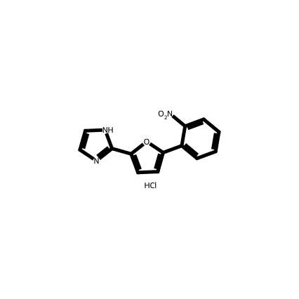 Cl.O=[N+]([O-])c1ccccc1-c1ccc(-c2ncc[nH]2)o1